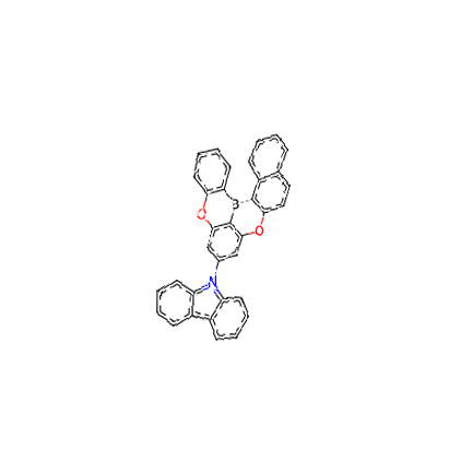 c1ccc2c(c1)Oc1cc(-n3c4ccccc4c4ccccc43)cc3c1B2c1c(ccc2ccccc12)O3